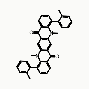 Cc1ccccc1-c1cccc2c(=O)c3cc4c(cc3n(C)c12)c(=O)c1cccc(-c2ccccc2C)c1n4C